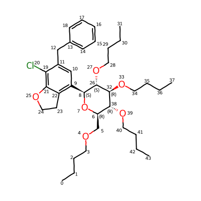 CCCCOC[C@H]1O[C@@H](c2cc(Cc3ccccc3)c(Cl)c3c2CCO3)[C@H](OCCCC)[C@@H](OCCCC)[C@@H]1OCCCC